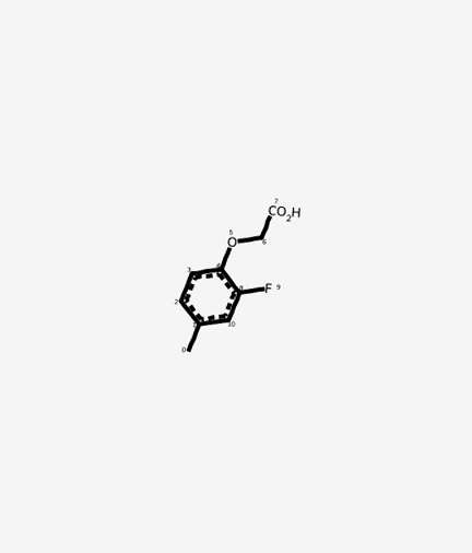 Cc1ccc(OCC(=O)O)c(F)c1